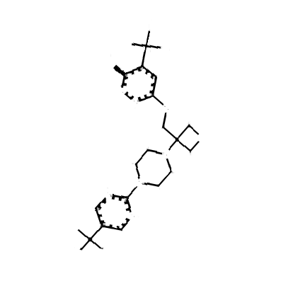 CC(F)(F)c1cnc(N2CCN(C3(CNc4cc(C(F)(F)F)c(=O)[nH]n4)COC3)CC2)nc1